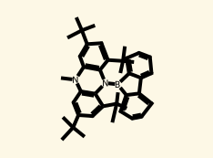 CN1c2cc(C(C)(C)C)cc(C(C)(C)C)c2N(B2c3ccccc3-c3ccccc32)c2c1cc(C(C)(C)C)cc2C(C)(C)C